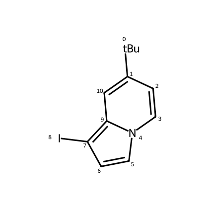 CC(C)(C)c1ccn2ccc(I)c2c1